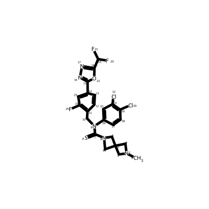 CN1CC2(C1)CN(C(=S)N(Cc1ccc(-c3nnc(C(F)F)o3)cc1F)c1ccc(Cl)c(Cl)c1)C2